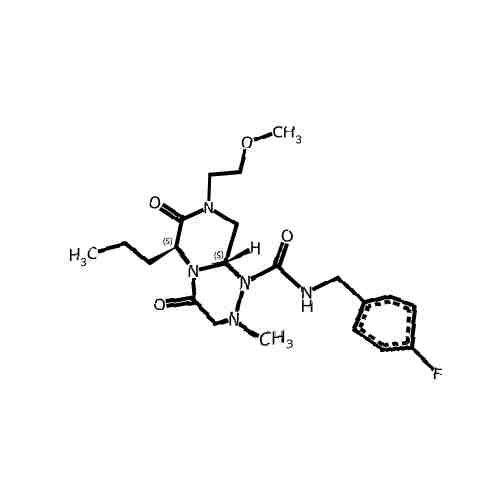 CCC[C@H]1C(=O)N(CCOC)C[C@H]2N1C(=O)CN(C)N2C(=O)NCc1ccc(F)cc1